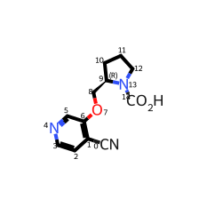 N#Cc1ccncc1OC[C@H]1CCCN1C(=O)O